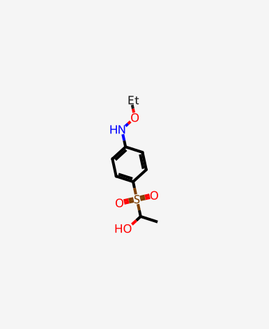 CCONc1ccc(S(=O)(=O)C(C)O)cc1